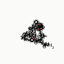 CC[C@H](C)[C@@H]([C@@H](CC(=O)N1CCC[C@H]1[C@H](OC)[C@@H](C)C(=O)N[C@@H](CC1=CCCCC1)c1nccs1)OC)N(C)C(=O)[C@@H](NC(=O)[C@H](C(C)C)N(C)CCc1ccc(NC(=O)[C@H](CCCNC(N)=O)NC(=O)C(C=C(C)C)NC(=O)CCCCCN2C(=O)C=CC2=O)cc1)C(C)C